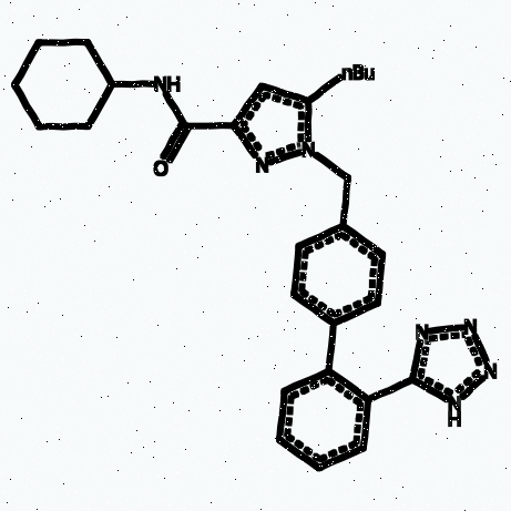 CCCCc1cc(C(=O)NC2CCCCC2)nn1Cc1ccc(-c2ccccc2-c2nnn[nH]2)cc1